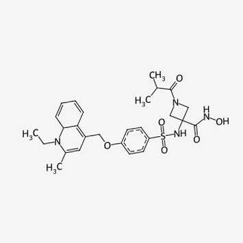 CCN1C(C)=CC(COc2ccc(S(=O)(=O)NC3(C(=O)NO)CN(C(=O)C(C)C)C3)cc2)=C2C=CC=CC21